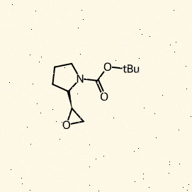 CC(C)(C)OC(=O)N1CCCC1[C@H]1CO1